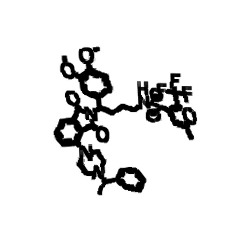 COc1ccc(C(CCCNS(=O)(=O)c2cc(C)oc2C(F)(F)F)N2C(=O)c3cccc(N4CCN([C@H](C)c5ccccc5)CC4)c3C2=O)cc1OC